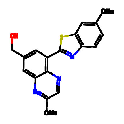 COc1ccc2nc(-c3cc(CO)cc4nc(OC)cnc34)sc2c1